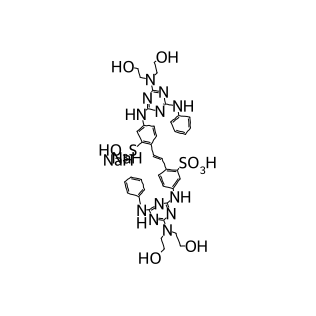 O=S(=O)(O)c1cc(Nc2nc(Nc3ccccc3)nc(N(CCO)CCO)n2)ccc1C=Cc1ccc(Nc2nc(Nc3ccccc3)nc(N(CCO)CCO)n2)cc1S(=O)(=O)O.[NaH].[NaH]